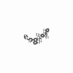 CCOc1cc(NC(=O)c2ccccc2)c(OCC)cc1NC(=O)Nc1ccc(-c2ccc(CN3CCOCC3)nc2)c2ccccc12